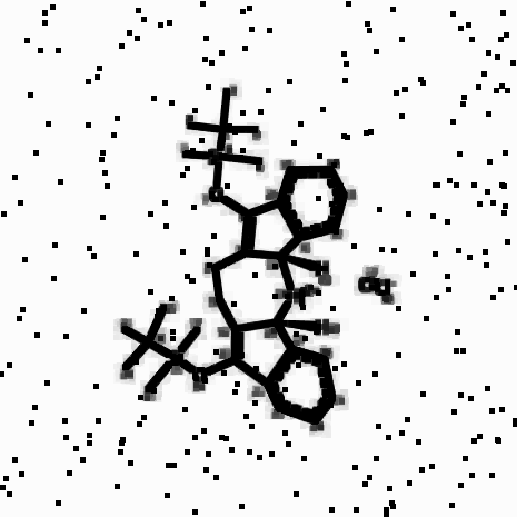 CC(C)(C)[Si](C)(C)OC1=C2CCC3=C(O[Si](C)(C)C(C)(C)C)c4ccccc4[C@H]3[Hf+2][C@H]2c2ccccc21.[Cl-].[Cl-]